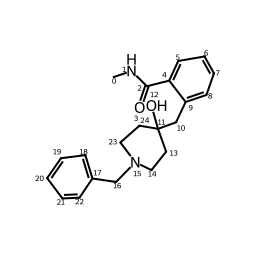 CNC(=O)c1ccccc1CC1(O)CCN(Cc2ccccc2)CC1